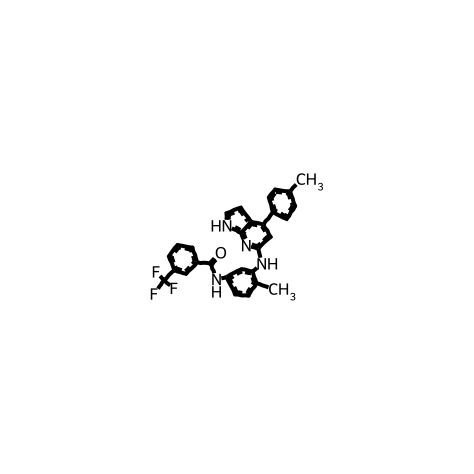 Cc1ccc(-c2cc(Nc3cc(NC(=O)c4cccc(C(F)(F)F)c4)ccc3C)nc3[nH]ccc23)cc1